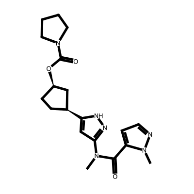 CN(C(=O)c1ccnn1C)c1cc([C@H]2CC[C@@H](OC(=O)N3CCCC3)C2)[nH]n1